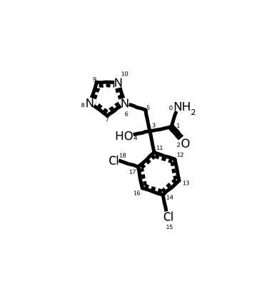 NC(=O)C(O)(Cn1cncn1)c1ccc(Cl)cc1Cl